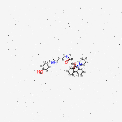 CN(CCCCCNCc1ccc(O)cc1)C(=O)CCOC(=O)N(c1ccccc1-c1ccccc1)N1CC[CH]CC1